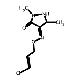 CC1NN(C)C(=O)C1=NOCC=CCl